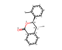 Cc1ccccc1[C@@H]1OC(=O)c2ccccc2[C@H]1C